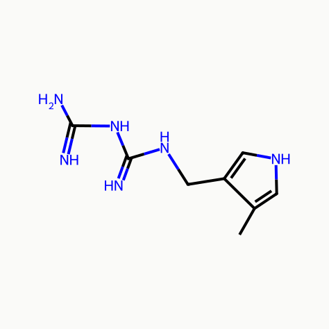 Cc1c[nH]cc1CNC(=N)NC(=N)N